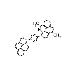 Cc1nc2c(-c3ccc(-c4ccc5ccc6cccc7ccc4c5c67)cc3)ccc3c(C)nc4cccc1c4c32